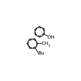 CCC(C)c1ccccc1C.Oc1ccccc1